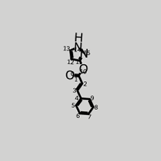 O=C(C=Cc1ccccc1)Oc1cc[nH]n1